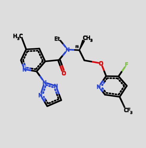 CCN(C(=O)c1cc(C)cnc1-n1nccn1)[C@@H](C)COc1ncc(C(F)(F)F)cc1F